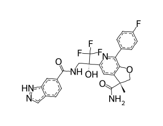 C[C@]1(C(N)=O)COc2c1cc([C@@](O)(CNC(=O)c1ccc3cn[nH]c3c1)C(F)(F)F)nc2-c1ccc(F)cc1